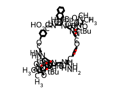 CCCN(C(=O)[C@@H](NC(=O)[C@H](C)N(C)C(=O)OC(C)(C)C)C(C)(C)C)[C@@H]1C(=O)N[C@@H](Cc2ccc3ccccc3c2)C(=O)N[C@H](C(=O)O)Cc2ccc(cc2)OCC2=CN(NN2)C2CCN(C(=O)[C@@H](NC(=O)[C@H](C)N(C)C(=O)OC(C)(C)C)C(C)(C)C)[C@@H]2C(=O)N[C@@H](Cc2ccc3ccccc3c2)C(=O)N[C@H](C(=O)NN)Cc2ccc(cc2)OCc2cn1nn2